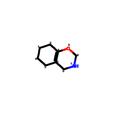 C1CCC2=C(C1)CNCO2